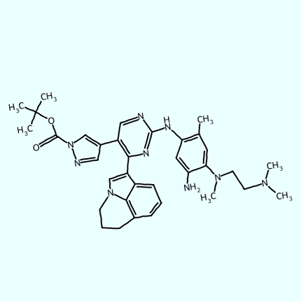 Cc1cc(N(C)CCN(C)C)c(N)cc1Nc1ncc(-c2cnn(C(=O)OC(C)(C)C)c2)c(-c2cn3c4c(cccc24)CCC3)n1